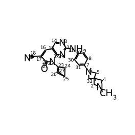 CN1CC2(C1)CN(c1ccc(Nc3ncc4cc(C#N)c(=O)n(C56CC(C5)C6)c4n3)cc1)C2